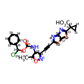 Cc1onc(C#Cc2nc3nc(C4(C(=O)O)CC4)sc3s2)c1NC(=O)OC(Cl)c1ccccc1